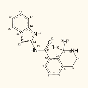 [2H]C1([2H])NCCc2cccc(C(=O)Nc3nc4ccccc4s3)c21